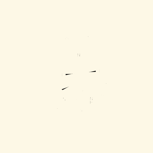 C=CC[C@H]1[C@@H]2CN(C(=O)O)C[C@@H]2CC1(NC(C)=O)C(=O)NC(C)(C)C